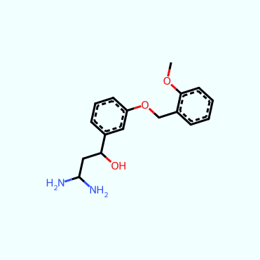 COc1ccccc1COc1cccc(C(O)CC(N)N)c1